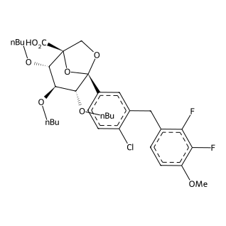 CCCCO[C@@H]1[C@@H](OCCCC)[C@@]2(c3ccc(Cl)c(Cc4ccc(OC)c(F)c4F)c3)OC[C@](C(=O)O)(O2)[C@H]1OCCCC